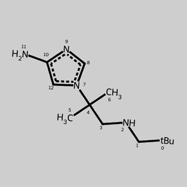 CC(C)(C)CNCC(C)(C)n1cnc(N)c1